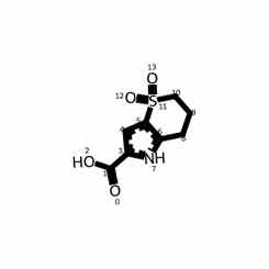 O=C(O)c1cc2c([nH]1)CCCS2(=O)=O